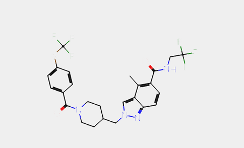 Cc1c(C(=O)NCC(F)(F)F)ccc2nn(CC3CCN(C(=O)c4ccc(SC(F)(F)F)cc4)CC3)cc12